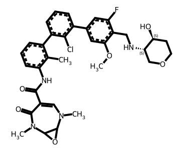 COc1cc(-c2cccc(-c3cccc(NC(=O)C4=CN(C)C5OC5N(C)C4=O)c3C)c2Cl)cc(F)c1CN[C@H]1COCC[C@@H]1O